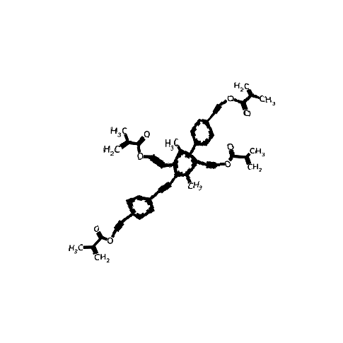 C=C(C)C(=O)OC#Cc1ccc(C#Cc2c(C)c(C#COC(=O)C(=C)C)c(-c3ccc(C#COC(=O)C(=C)C)cc3)c(C)c2C#COC(=O)C(=C)C)cc1